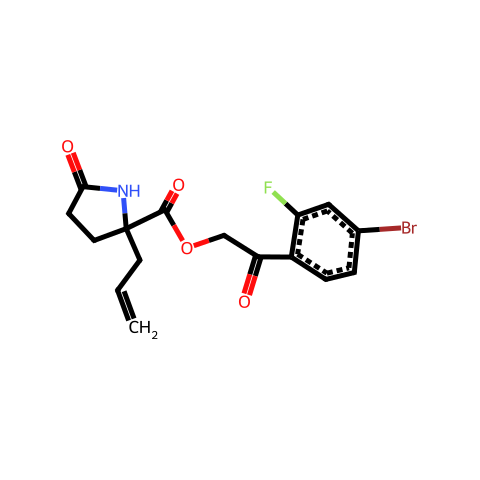 C=CCC1(C(=O)OCC(=O)c2ccc(Br)cc2F)CCC(=O)N1